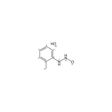 Cc1ccccc1NNCl.Cl